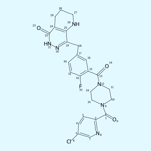 O=C(c1ccc(Cl)cn1)N1CCN(C(=O)c2cc(Cc3n[nH]c(=O)c4c3NCCC4)ccc2F)CC1